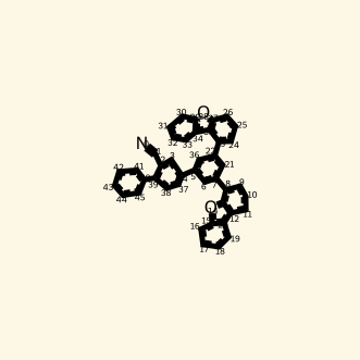 N#Cc1cc(-c2cc(-c3cccc4c3oc3ccccc34)cc(-c3cccc4oc5ccccc5c34)c2)ccc1-c1ccccc1